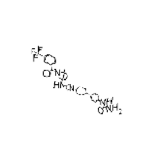 NC(=O)Nc1ccc(C2CCC(N3CC(NC(=O)CNC(=O)c4cccc(C(F)(F)F)c4)C3)CC2)cc1